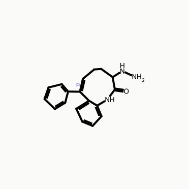 NNC1CC/C=C(/c2ccccc2)c2ccccc2NC1=O